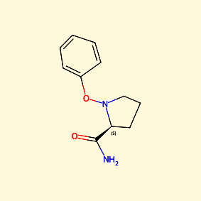 NC(=O)[C@@H]1CCCN1Oc1ccccc1